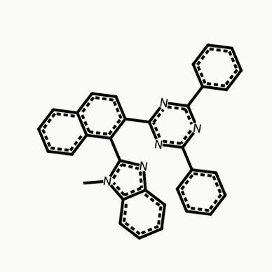 Cn1c(-c2c(-c3nc(-c4ccccc4)nc(-c4ccccc4)n3)ccc3ccccc23)nc2ccccc21